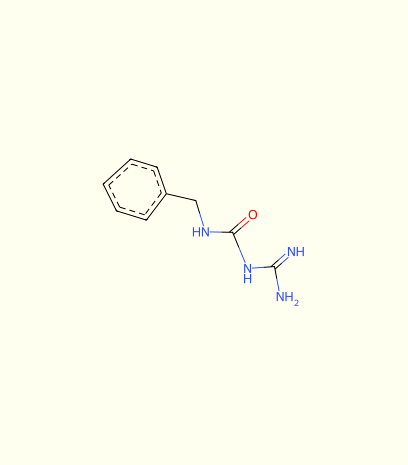 N=C(N)NC(=O)NCc1ccccc1